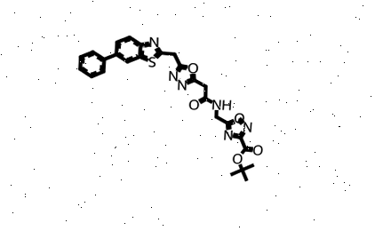 CC(C)(C)OC(=O)c1noc(CNC(=O)Cc2nnc(Cc3nc4ccc(-c5ccccc5)cc4s3)o2)n1